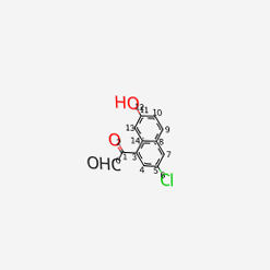 O=CC(=O)c1cc(Cl)cc2ccc(O)cc12